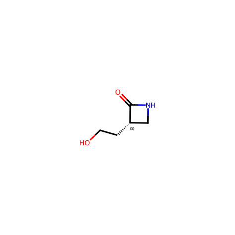 O=C1NC[C@@H]1CCO